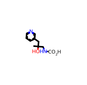 CC(O)(CNC(=O)O)Cc1cccnc1